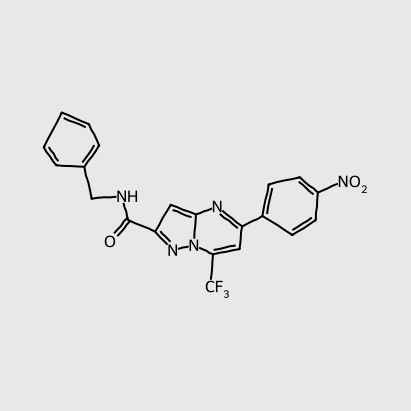 O=C(NCc1ccccc1)c1cc2nc(-c3ccc([N+](=O)[O-])cc3)cc(C(F)(F)F)n2n1